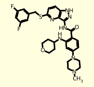 CN1CCN(c2ccc(C(=O)Nc3n[nH]c4ccc(SCc5cc(F)cc(F)c5)nc34)c(NC3CCOCC3)c2)CC1